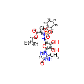 C=C1NC(=O)C=NN1[C@@H]1O[C@H](COP(=O)(N[C@@H](C)C(=O)OCC(CC)CC)Oc2ccccc2)C(O)[C@@H]1O